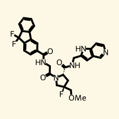 COC[C@@]1(F)C[C@@H](C(=O)NCc2cc3cnccc3[nH]2)N(C(=O)CNC(=O)c2ccc3c(c2)-c2ccccc2C3(F)F)C1